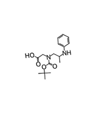 CC(CN(CC(=O)O)C(=O)OC(C)(C)C)Nc1ccccc1